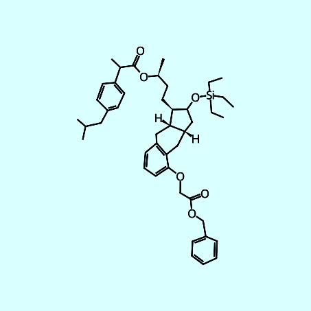 CC[Si](CC)(CC)OC1C[C@@H]2Cc3c(cccc3OCC(=O)OCc3ccccc3)C[C@@H]2[C@H]1CC[C@H](C)OC(=O)C(C)c1ccc(CC(C)C)cc1